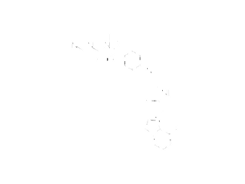 N=C/N=C(\S)NS(=O)(=O)c1ccc(N2CC[C@H](NC(=O)Cn3ccc4cccc(Cl)c43)C2)cc1